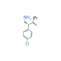 C=C(C(C)C)[C@H](CN)c1ccc(Cl)cc1